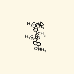 C=Nc1c(-c2cccc3c(C(N)=O)cccc23)cnn1/C=C(\C)c1ccc(OC(C)(C)CN2CCCCC2)cc1